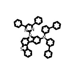 c1ccc(-c2cccc(N(c3cccc(-c4ccccc4)c3)c3ccc4c5c6c(ccc5n(-c5nc(-c7ccccc7)cc(-c7ccccc7)n5)c4c3)sc3ccccc36)c2)cc1